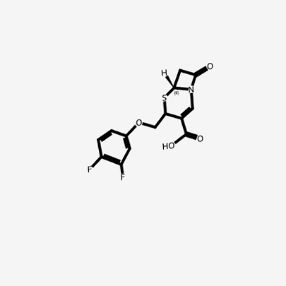 O=C(O)C1=CN2C(=O)C[C@H]2SC1COc1ccc(F)c(F)c1